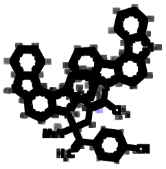 C=C(c1ccc(C#N)cc1)C(C/C(C)=C(\C)n1c2ccccc2c2c3c(ccc21)sc1ccccc13)(NC)n1c2ccccc2c2c3c(ccc21)sc1ccccc13